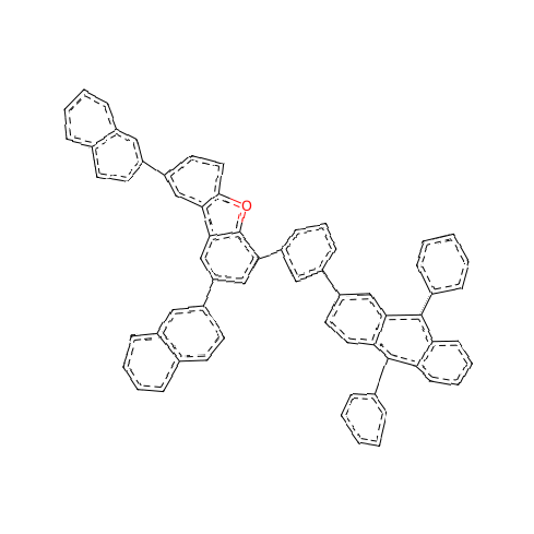 c1ccc(-c2c3ccccc3c(-c3ccccc3)c3cc(-c4cccc(-c5cc(-c6ccc7ccccc7c6)cc6c5oc5ccc(-c7ccc8ccccc8c7)cc56)c4)ccc23)cc1